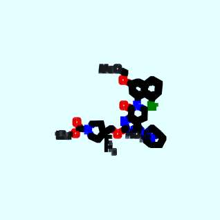 COCOc1cc(N2CCc3c(nc(OCC4(C)CCN(C(=O)OC(C)(C)C)CC4)nc3N3CC4CCC(C3)N4C(=O)O)C2=O)c2c(Br)cccc2c1